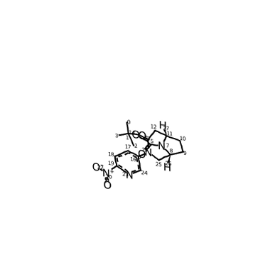 CC(C)(C)OC(=O)N1[C@@H]2CC[C@H]1CC(=O)N(c1ccc([N+](=O)[O-])nc1)C2